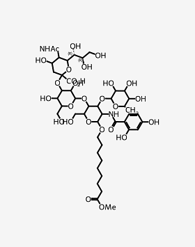 COC(=O)CCCCCCCCOC1OC(CO)C(OC2OC(CO)C(O)C(OC3(C(=O)O)CC(O)C(NC(C)=O)C([C@H](O)[C@H](O)CO)O3)C2O)C(OC2OC(C)C(O)C(O)C2O)C1NC(=O)c1ccc(O)cc1O